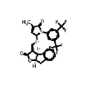 CC1=CC(O/C=C2/C(=O)O[C@@H]3Cc4ccccc4[C@H]23)N(c2cc(C(F)(F)F)cc(C(F)(F)F)c2)C1=O